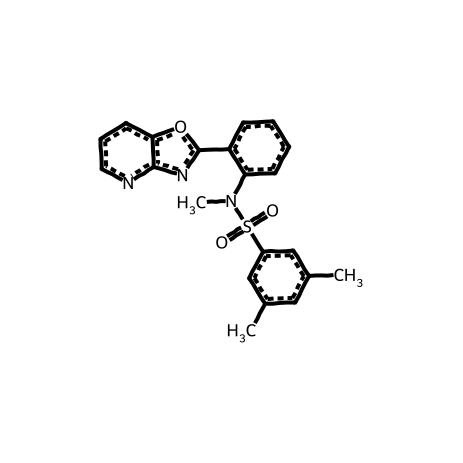 Cc1cc(C)cc(S(=O)(=O)N(C)c2ccccc2-c2nc3ncccc3o2)c1